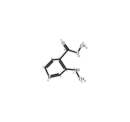 CNc1cnccc1C(=O)OC